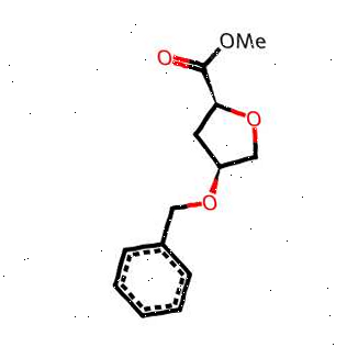 COC(=O)[C@@H]1C[C@H](OCc2ccccc2)CO1